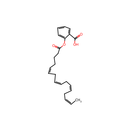 C/C=C\C/C=C\C/C=C\C/C=C\CCCC(=O)Oc1ccccc1C(=O)O